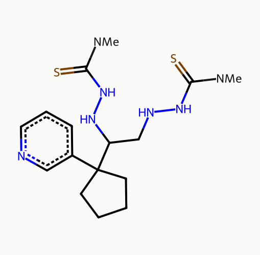 CNC(=S)NNCC(NNC(=S)NC)C1(c2cccnc2)CCCC1